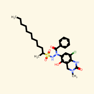 CCCCCCCCCCC(C)S(=O)(=O)NN(C(=O)c1ccccc1)c1cc(Cl)c2c(c1O)CN(C)C(=O)N2